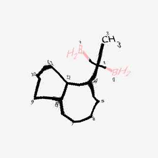 BC(B)(C)C1CCCC2CCCC21